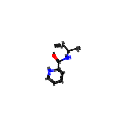 CCC(NC(=O)c1ccccn1)C(=O)O